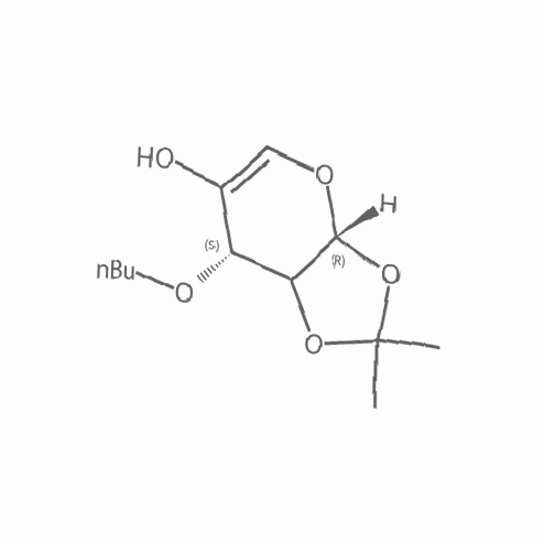 CCCCO[C@@H]1C(O)=CO[C@@H]2OC(C)(C)OC21